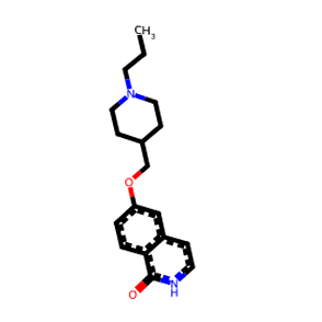 CCCN1CCC(COc2ccc3c(=O)[nH]ccc3c2)CC1